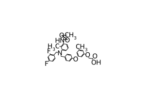 Cc1cc(OCC(=O)O)cc(Oc2ccc(CN(Cc3ccc(F)cc3F)c3cccc(NS(C)(=O)=O)c3C)cc2)c1